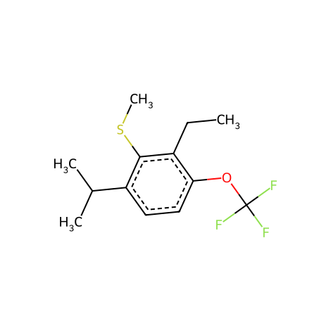 CCc1c(OC(F)(F)F)ccc(C(C)C)c1SC